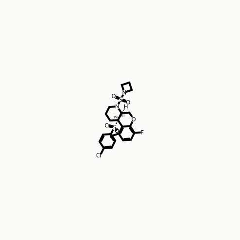 O=S(=O)(N1CCC1)N1CCC[C@]2(S(=O)(=O)c3ccc(Cl)cc3)c3c(F)ccc(F)c3OC[C@H]12